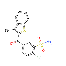 CCc1c(C(=O)c2ccc(Cl)c(S(N)(=O)=O)c2)sc2ccccc12